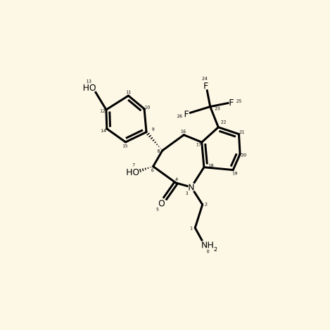 NCCN1C(=O)[C@H](O)[C@H](c2ccc(O)cc2)Cc2c1cccc2C(F)(F)F